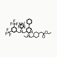 CCOC(=O)CC1CCC(CN(CC)c2ncc(-c3ccccc3)cc2CN(Cc2cc(C(F)(F)F)cc(C(F)(F)F)c2)c2nnn(C)n2)CC1